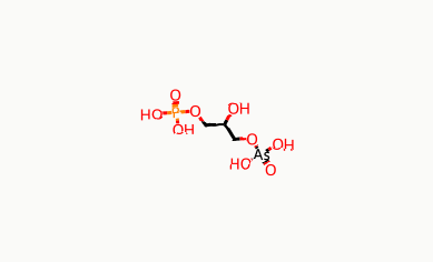 O=P(O)(O)OCC(O)CO[As](=O)(O)O